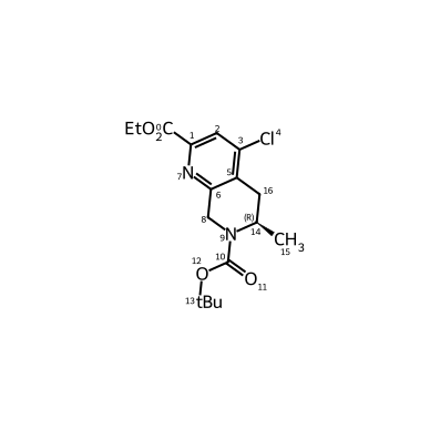 CCOC(=O)c1cc(Cl)c2c(n1)CN(C(=O)OC(C)(C)C)[C@H](C)C2